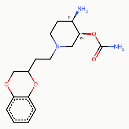 NC(=O)O[C@H]1CN(CCC2COc3ccccc3O2)CC[C@H]1N